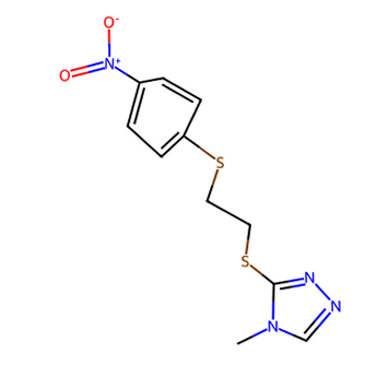 Cn1cnnc1SCCSc1ccc([N+](=O)[O-])cc1